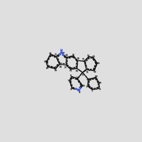 c1ccc(C2(c3cccnc3)c3ccccc3-c3cc4[nH]c5ccccc5c4cc32)cc1